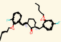 CCCCOc1cc(F)ccc1/C=C1\CCC/C(=C\c2cccc(F)c2OCCCC)C1=O